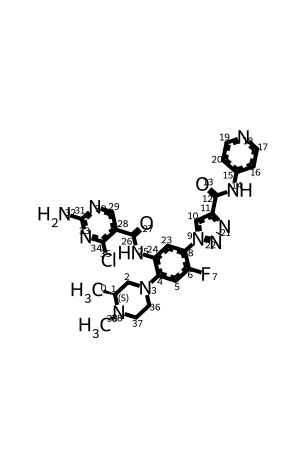 C[C@H]1CN(c2cc(F)c(-n3cc(C(=O)Nc4ccncc4)nn3)cc2NC(=O)c2cnc(N)nc2Cl)CCN1C